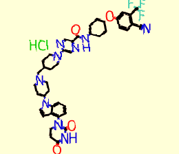 Cl.N#Cc1ccc(O[C@H]2CC[C@H](NC(=O)c3cnc(N4CCC(CN5CCC(n6ccc7c(N8CCC(=O)NC8=O)cccc76)CC5)CC4)cn3)CC2)cc1C(F)(F)F